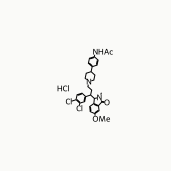 COc1ccc2c(c1)C(=O)N(C)C2C(CCN1CCC(c2ccc(NC(C)=O)cc2)CC1)c1ccc(Cl)c(Cl)c1.Cl